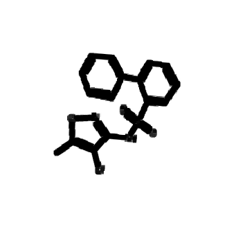 Cc1onc(NS(=O)(=O)c2ccccc2-c2ccccc2)c1Cl